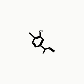 [CH2]C(C=C)c1ccc(I)c(C#N)c1